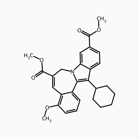 COC(=O)C1=Cc2c(OC)cccc2-c2c(C3CCCCC3)c3ccc(C(=O)OC)cc3n2C1